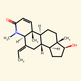 C/C=C1\C[C@@H]2[C@H](CC[C@]3(C)[C@@H](O)CC[C@@H]23)[C@@]2(C)C=CC(=O)N(C)[C@H]12